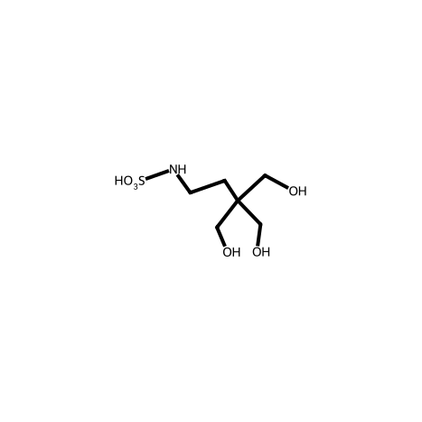 O=S(=O)(O)NCCC(CO)(CO)CO